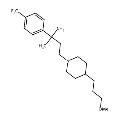 COCCCC1CCN(CCC(C)(C)c2ccc(C(F)(F)F)cc2)CC1